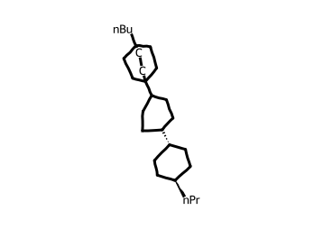 CCCCC12CCC(C3CCC([C@H]4CC[C@H](CCC)CC4)CC3)(CC1)CC2